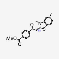 COC(=O)c1ccc(C(=O)/C=C2/Sc3ccc(C)cc3N2C)cc1